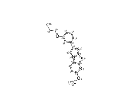 COc1ccc2c(n1)sc1nc(-c3cccc(OCCF)c3)cn12